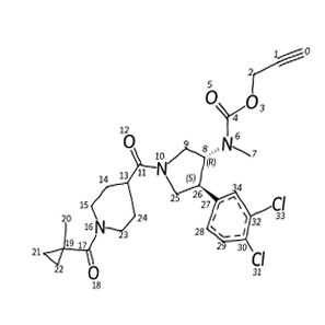 C#CCOC(=O)N(C)[C@H]1CN(C(=O)C2CCN(C(=O)C3(C)CC3)CC2)C[C@@H]1c1ccc(Cl)c(Cl)c1